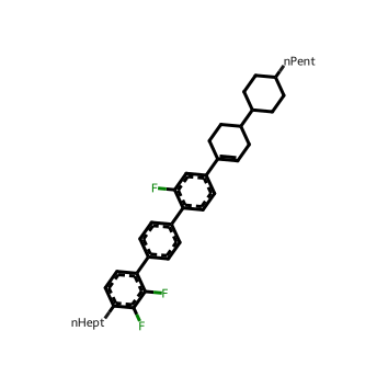 CCCCCCCc1ccc(-c2ccc(-c3ccc(C4=CCC(C5CCC(CCCCC)CC5)CC4)cc3F)cc2)c(F)c1F